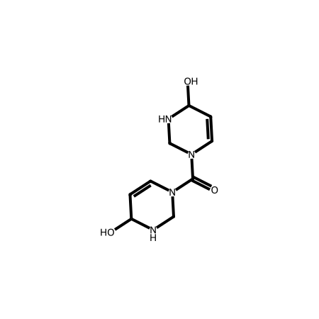 O=C(N1C=CC(O)NC1)N1C=CC(O)NC1